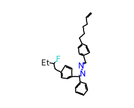 C=CCCCCc1ccc(C=NN=C(c2ccccc2)c2ccc(CC(F)CC)cc2)cc1